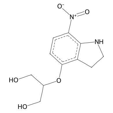 O=[N+]([O-])c1ccc(OC(CO)CO)c2c1NCC2